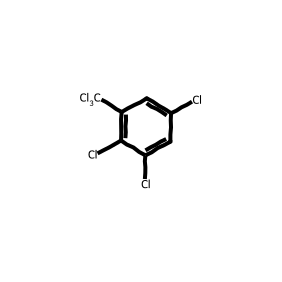 Clc1cc(Cl)c(Cl)c(C(Cl)(Cl)Cl)c1